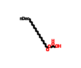 CCCCCCCCCCCCCCCCCCCCCCCCCCCCC(=O)OCC(O)CO